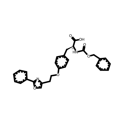 O=C(N[C@@H](Cc1ccc(OCCc2coc(-c3ccccc3)n2)cc1)C(=O)O)OCc1ccccc1